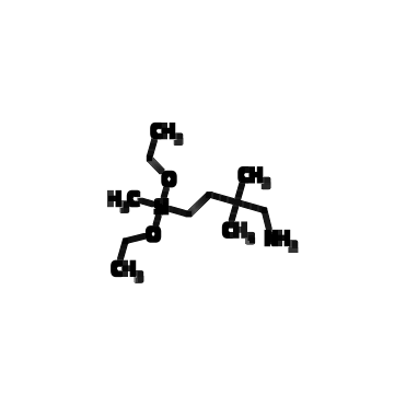 CCO[Si](C)(CCC(C)(C)CN)OCC